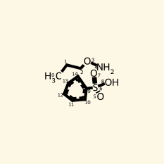 CCCON.O=S(=O)(O)c1ccccc1